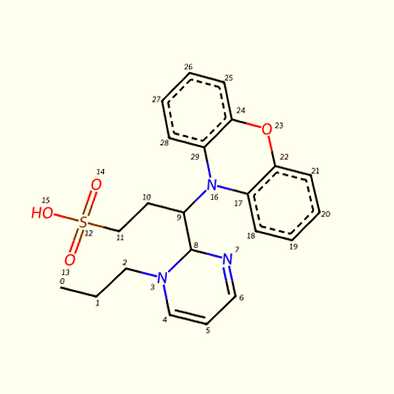 CCCN1C=CC=NC1C(CCS(=O)(=O)O)N1c2ccccc2Oc2ccccc21